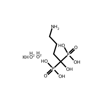 NCCCC(O)(P(=O)(O)O)P(=O)(O)O.O.O.[KH]